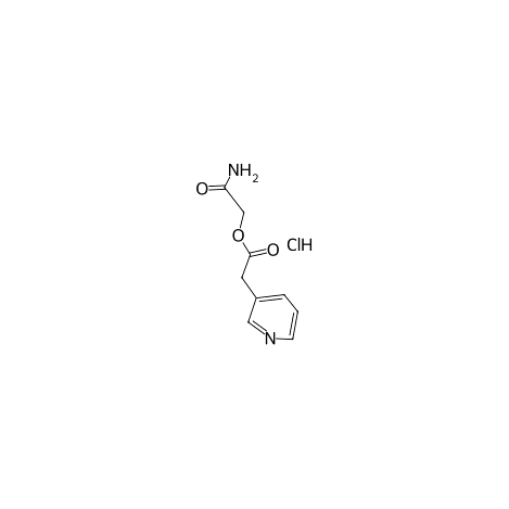 Cl.NC(=O)COC(=O)Cc1cccnc1